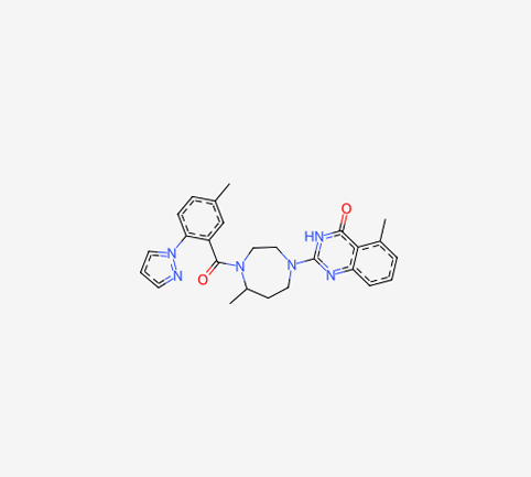 Cc1ccc(-n2cccn2)c(C(=O)N2CCN(c3nc4cccc(C)c4c(=O)[nH]3)CCC2C)c1